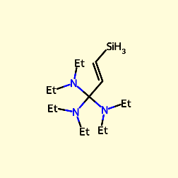 CCN(CC)C(C=C[SiH3])(N(CC)CC)N(CC)CC